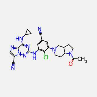 CC(=O)N1CCC2CN(c3cc(C#N)cc(Nc4nc(NC5CC5)c5ncc(C#N)n5n4)c3Cl)CCC21